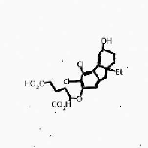 CCC12CCC(O)C=C1c1c(cc(OC(CCCC(=O)O)C(=O)O)c(Cl)c1Cl)C2